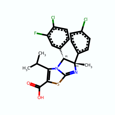 CC(C)C1=C(C(=O)O)SC2=N[C@@](C)(c3ccc(Cl)cc3)[C@@H](c3ccc(Cl)c(F)c3)N21